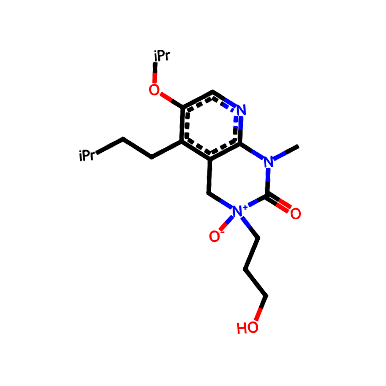 CC(C)CCc1c(OC(C)C)cnc2c1C[N+]([O-])(CCCO)C(=O)N2C